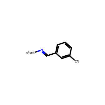 CCCCCN=Cc1cccc(C#N)c1